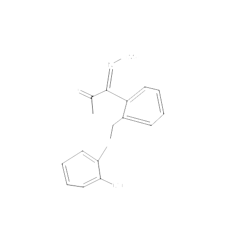 CCC(C)c1ccccc1OCc1ccccc1/C(=N\OC)C(=O)Cl